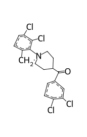 [CH2]c1ccc(Cl)c(Cl)c1N1CCC(C(=O)c2ccc(Cl)c(Cl)c2)CC1